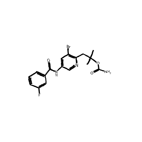 CC(C)(Cc1ncc(NC(=O)c2cccc(F)c2)cc1Br)OC(N)=O